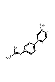 CC/C(=C\c1ccc(-c2cccc(NC)c2)cc1)C(=O)O